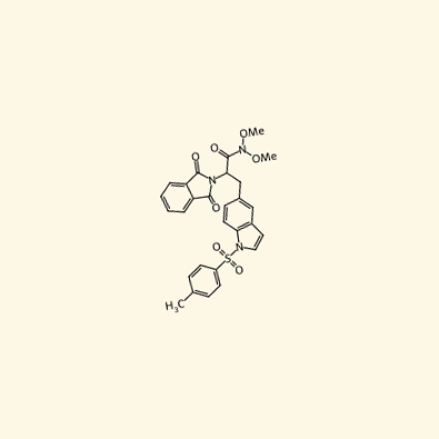 CON(OC)C(=O)C(Cc1ccc2c(ccn2S(=O)(=O)c2ccc(C)cc2)c1)N1C(=O)c2ccccc2C1=O